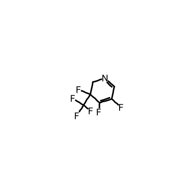 FC1=C(F)C(F)(C(F)(F)F)CN=C1